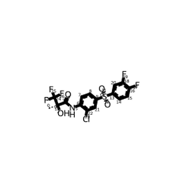 C[C@@](O)(C(=O)Nc1ccc(S(=O)(=O)c2ccc(F)c(F)c2)cc1Cl)C(F)(F)F